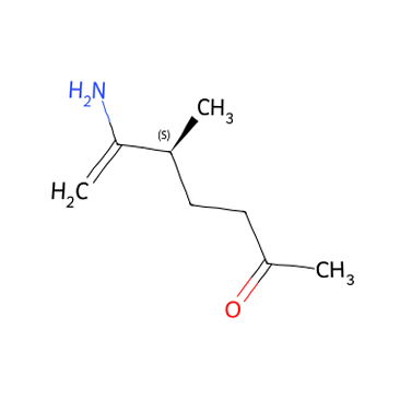 C=C(N)[C@@H](C)CCC(C)=O